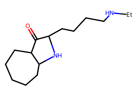 CCNCCCCC1NC2CCCCCC2C1=O